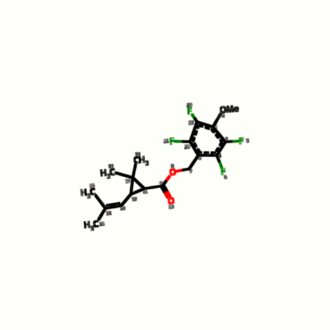 COc1c(F)c(F)c(COC(=O)C2C(C=C(C)C)C2(C)C)c(F)c1F